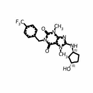 Cn1c(N[C@H]2CC[C@H](O)C2)nc2c1c(=O)n(Cc1ccc(C(F)(F)F)cc1)c(=O)n2C